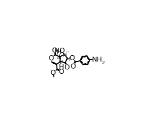 COC(=O)C1=COC(=O)[C@H]2[C@@H]1C(=O)[C@H](OC(=O)c1ccc(N)cc1)[C@]2(C)O